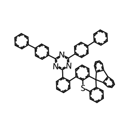 c1ccc(-c2ccc(-c3nc(-c4ccc(-c5ccccc5)cc4)nc(-c4ccccc4-c4cccc5c4Sc4ccccc4C54c5ccccc5-c5ccccc54)n3)cc2)cc1